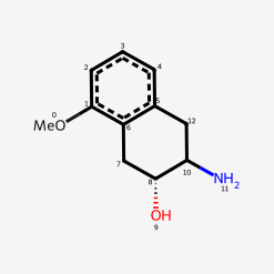 COc1cccc2c1C[C@@H](O)C(N)C2